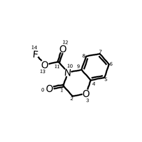 O=C1COc2ccccc2N1C(=O)OF